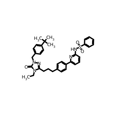 CCn1c(CCCc2ccc(-c3cccc(NS(=O)(=O)c4ccccc4)n3)cc2)nn(Cc2ccc(C(C)(C)C)cc2)c1=O